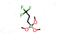 C[O][Zr]([CH2]CC(F)(F)F)([O]C)[O]C